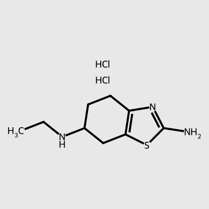 CCNC1CCc2nc(N)sc2C1.Cl.Cl